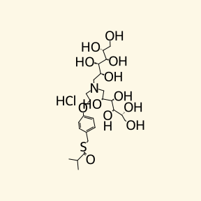 CC(C)C(=O)SCc1ccc(OCCN(C[C@H](O)[C@@H](O)[C@H](O)[C@H](O)CO)C[C@H](O)[C@@H](O)[C@H](O)[C@H](O)CO)cc1.Cl